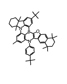 Cc1cc2c3c(c1)N1c4c(cc(C(C)(C)C)cc4C4(C)CCCCC14C)B3c1oc3cc4c(cc3c1N2c1ccc(C(C)(C)C)cc1)C(C)(C)CCC4(C)C